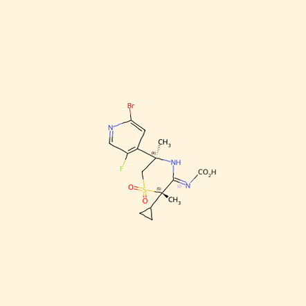 C[C@@]1(c2cc(Br)ncc2F)CS(=O)(=O)[C@@](C)(C2CC2)/C(=N/C(=O)O)N1